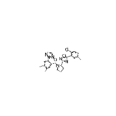 COc1ccc(C)cc1-c1nc(C2CCCN2C(=O)c2cc(C)c(C)cc2-n2nccn2)no1